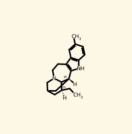 CC[C@H]1CC2C[C@H]3c4[nH]c5ccc(C)cc5c4CCN(C2)C13